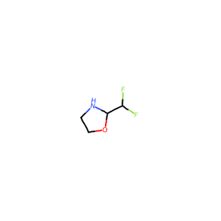 FC(F)C1NCCO1